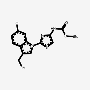 CC(C)Cc1cn(-c2nc(NC(=O)OC(C)(C)C)cs2)c2cc(Cl)ccc12